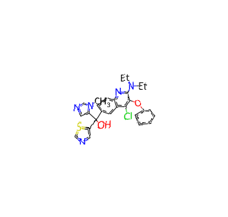 CCN(CC)c1nc2ccc(C(O)(c3cncs3)c3cncn3C)cc2c(Cl)c1Oc1ccccc1